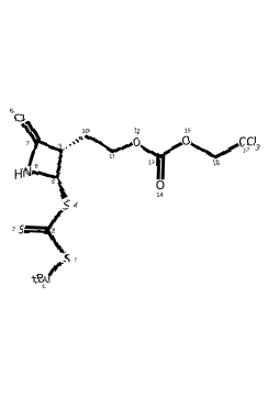 CC(C)(C)SC(=S)S[C@H]1NC(=O)[C@@H]1CCOC(=O)OCC(Cl)(Cl)Cl